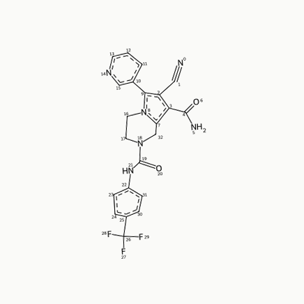 N#Cc1c(C(N)=O)c2n(c1-c1cccnc1)CCN(C(=O)Nc1ccc(C(F)(F)F)cc1)C2